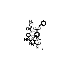 C=CC(=O)NC1CC[C@@H](Nc2nnc(C(N)=O)c(Nc3ccc(C(=O)OCc4ccccc4)cc3)n2)[C@H]1C